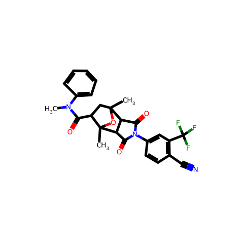 CN(C(=O)C1CC2(C)OC1(C)C1C(=O)N(c3ccc(C#N)c(C(F)(F)F)c3)C(=O)C12)c1ccccc1